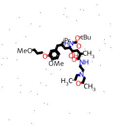 COCCCOc1cc(CC(CC(NC(=O)OC(C)(C)C)C(O)CC(C)C(=O)NCCN2C[C@@H](C)O[C@@H](C)C2)C(C)C)ccc1OC